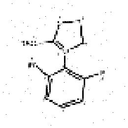 CC(C)c1cccc(C(C)C)c1[N+]1=C(C(=O)[O-])SCC1